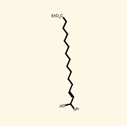 CCCC(O)C=CCCCCCCCCCCCC(=O)OCC